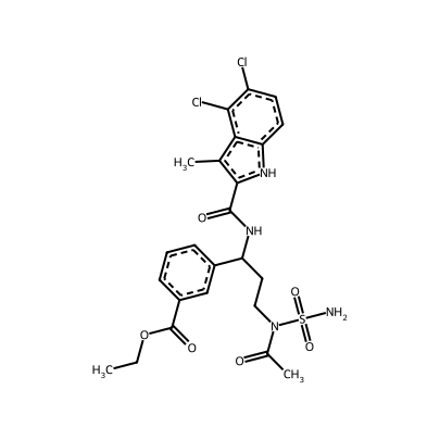 CCOC(=O)c1cccc(C(CCN(C(C)=O)S(N)(=O)=O)NC(=O)c2[nH]c3ccc(Cl)c(Cl)c3c2C)c1